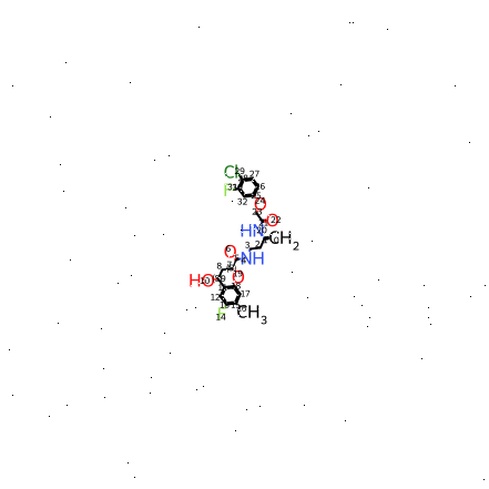 C=C(CCNC(=O)[C@@H]1C[C@H](O)c2cc(F)c(C)cc2O1)NC(=O)COc1ccc(Cl)c(F)c1